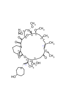 CC[C@@H]1/C=C(\C)C[C@H](C)C[C@H](OC)[C@H]2O[C@@](O)(C(=O)C(=O)N3CCCC[C@H]3C(=O)O[C@H](/C(C)=C/[C@@H]3CCCC(O)CC3)[C@H](C)[C@@H](O)CC1=O)[C@H](C)C[C@@H]2OC